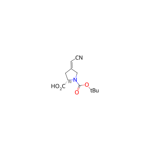 CC(C)(C)OC(=O)N1CC(=CC#N)C[C@H]1C(=O)O